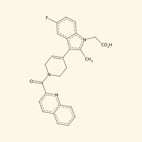 Cc1c(C2=CCN(C(=O)c3ccc4ccccc4n3)CC2)c2cc(F)ccc2n1CC(=O)O